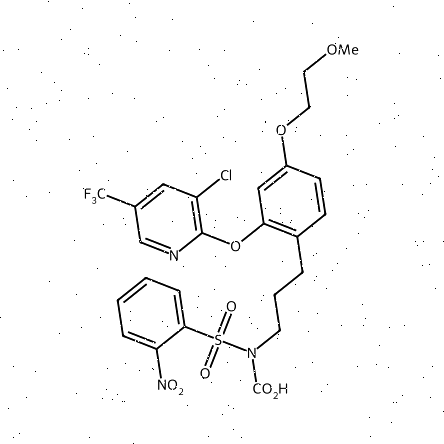 COCCOc1ccc(CCCN(C(=O)O)S(=O)(=O)c2ccccc2[N+](=O)[O-])c(Oc2ncc(C(F)(F)F)cc2Cl)c1